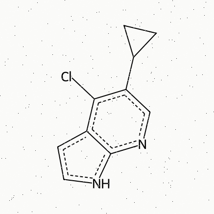 Clc1c(C2CC2)cnc2[nH]ccc12